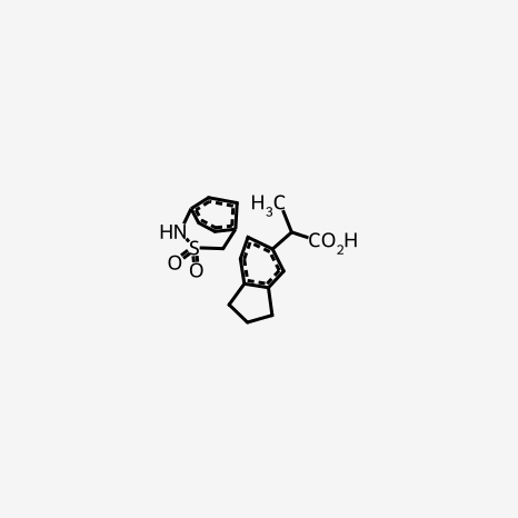 CC(C(=O)O)c1ccc2c(c1)CCC2.O=S1(=O)Cc2ccc(cc2)N1